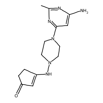 Cc1nc(N)cc(N2CCN(NC3=CC(=O)CC3)CC2)n1